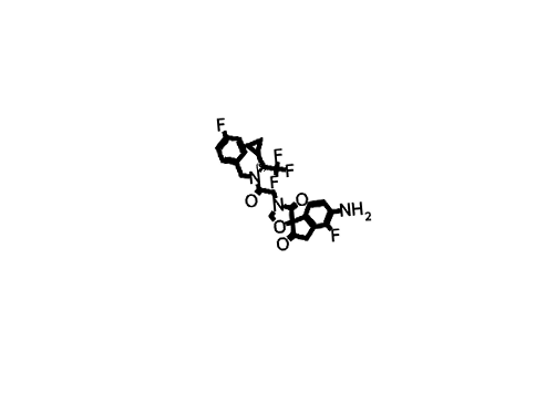 Nc1ccc2c(c1F)CC(=O)C21OCN(CC(=O)N(Cc2ccc(F)cc2)[C@@H](C2CC2)C(F)(F)F)C1=O